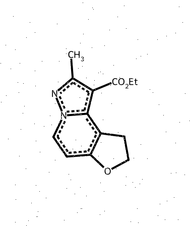 CCOC(=O)c1c(C)nn2ccc3c(c12)CCO3